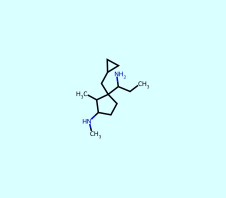 CCC(N)C1(CC2CC2)CCC(NC)C1C